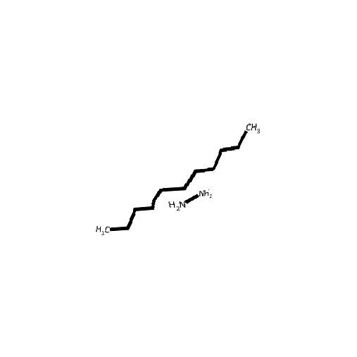 CCCCCCCCCCC.NN